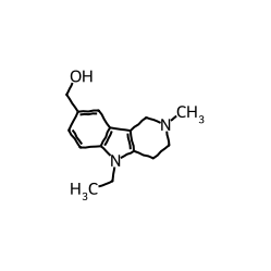 CCn1c2c(c3cc(CO)ccc31)CN(C)CC2